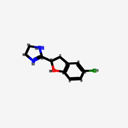 Clc1ccc2c(c1)CC(C1=NCCN1)O2